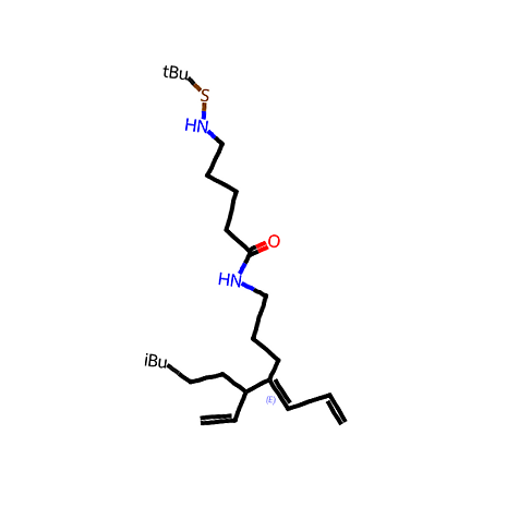 C=C/C=C(\CCCNC(=O)CCCCNSC(C)(C)C)C(C=C)CCC(C)CC